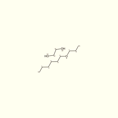 CCCCCCOCCC.OCCO